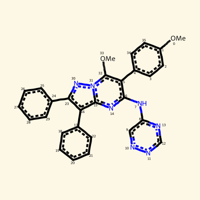 COc1ccc(-c2c(Nc3cnncn3)nc3c(-c4ccccc4)c(-c4ccccc4)nn3c2OC)cc1